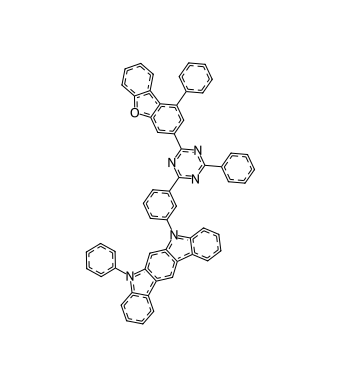 c1ccc(-c2nc(-c3cccc(-n4c5ccccc5c5cc6c7ccccc7n(-c7ccccc7)c6cc54)c3)nc(-c3cc(-c4ccccc4)c4c(c3)oc3ccccc34)n2)cc1